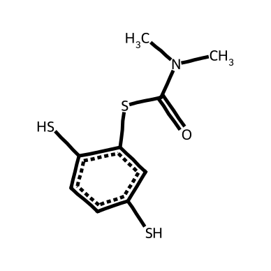 CN(C)C(=O)Sc1cc(S)ccc1S